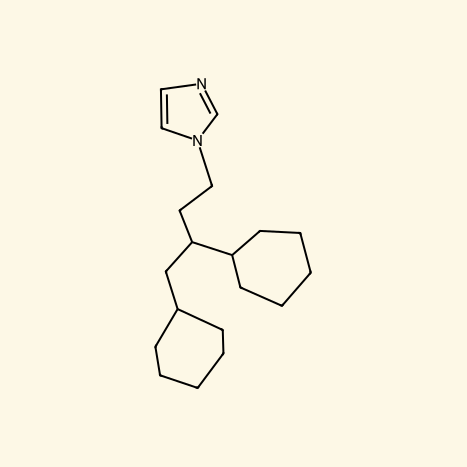 c1cn(CCC(CC2CCCCC2)C2CCCCC2)cn1